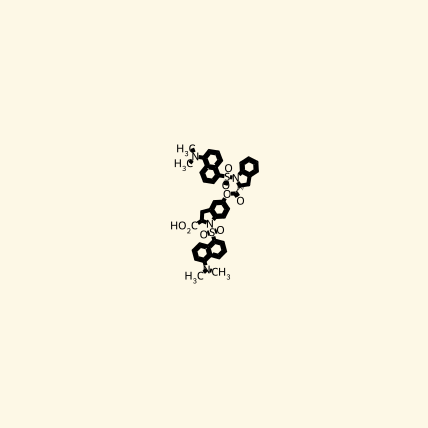 CN(C)c1cccc2c(S(=O)(=O)N3c4ccc(OC(=O)[C@H]5Cc6ccccc6N5S(=O)(=O)c5cccc6c(N(C)C)cccc56)cc4CC3C(=O)O)cccc12